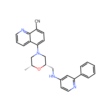 C[C@@H]1CN(c2ccc(C#N)c3ncccc23)C[C@H](CNc2ccnc(-c3ccccc3)c2)O1